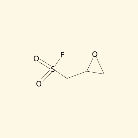 O=S(=O)(F)CC1CO1